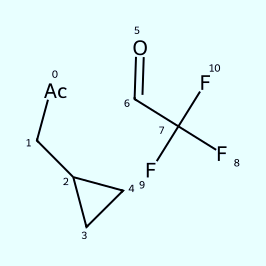 CC(=O)CC1CC1.O=CC(F)(F)F